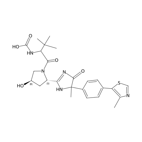 Cc1ncsc1-c1ccc(C2(C)NC([C@@H]3C[C@@H](O)CN3C(=O)C(NC(=O)O)C(C)(C)C)=NC2=O)cc1